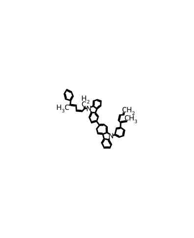 C=C/C=C\C(=C/C)c1cccc(-n2c3c(c4ccccc42)=CCC(c2ccc4c(c2)c2ccccc2n4C(=C)/C=C\C=C(/C)c2ccccc2)=CC=3)c1